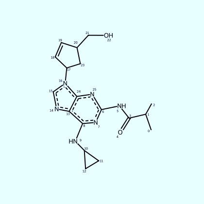 CC(C)C(=O)Nc1nc(NC2CC2)c2ncn(C3C=CC(CO)C3)c2n1